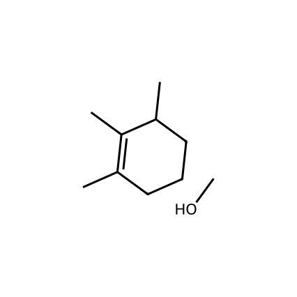 CC1=C(C)C(C)CCC1.CO